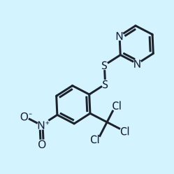 O=[N+]([O-])c1ccc(SSc2ncccn2)c(C(Cl)(Cl)Cl)c1